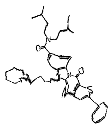 CC(C)CCN(CCC(C)C)C(=O)c1ccc2c(c1)n(CCCN1CCCCC1)c1nc3cc(-c4ccccc4)sc3c(=O)n21